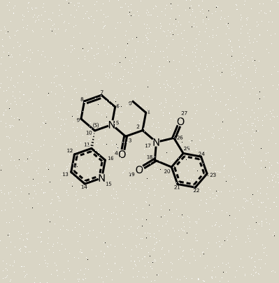 CCC(C(=O)N1CC=CC[C@H]1c1cccnc1)N1C(=O)c2ccccc2C1=O